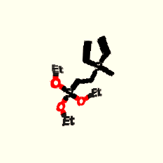 C=C[Si](C)(C=C)CC[Si](OCC)(OCC)OCC